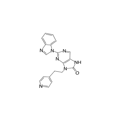 O=c1[nH]c2cnc(-n3cnc4ccccc43)nc2n1CCc1ccncc1